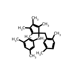 CC1=C(C)C(Cc2cc(C)ccc2C)([SiH2]c2cc(C)cc(C)c2)C(C)=C1C